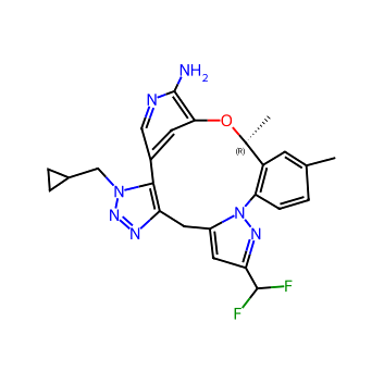 Cc1ccc2c(c1)[C@@H](C)Oc1cc(cnc1N)-c1c(nnn1CC1CC1)Cc1cc(C(F)F)nn1-2